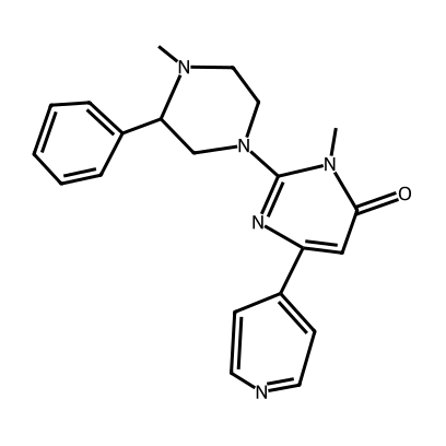 CN1CCN(c2nc(-c3ccncc3)cc(=O)n2C)CC1c1ccccc1